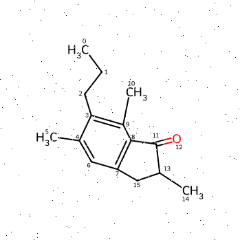 CCCc1c(C)cc2c(c1C)C(=O)C(C)C2